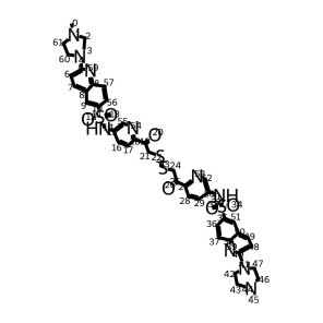 CN1CCN(c2ccc3cc(S(=O)(=O)Nc4ccc(C(=O)CSSCC(=O)c5ccc(NS(=O)(=O)c6ccc7nc(N8CCN(C)CC8)ccc7c6)cn5)nc4)ccc3n2)CC1